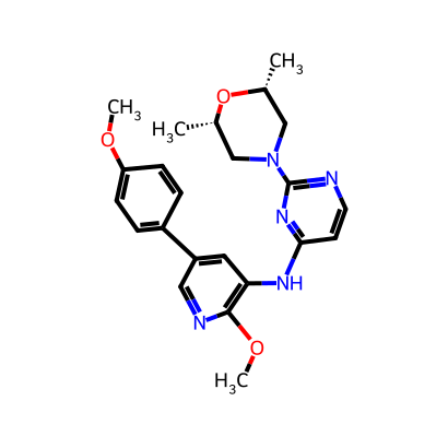 COc1ccc(-c2cnc(OC)c(Nc3ccnc(N4C[C@@H](C)O[C@@H](C)C4)n3)c2)cc1